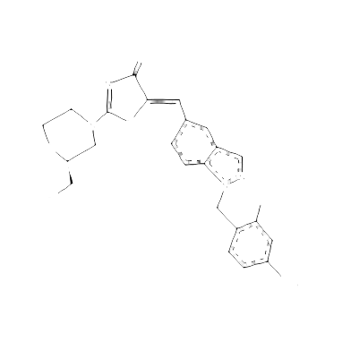 Cc1ccc(Cn2ncc3cc(/C=C4\SC(N5CCO[C@H](CO)C5)=NC4=O)ccc32)c(C(F)(F)F)c1